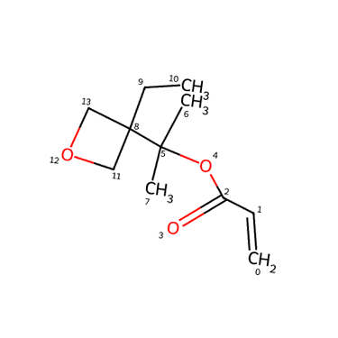 C=CC(=O)OC(C)(C)C1(CC)COC1